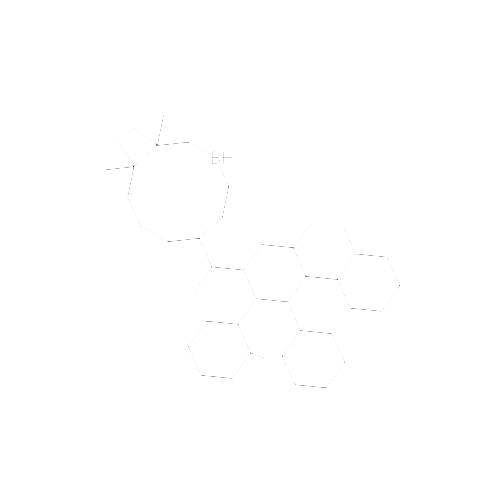 CC1CCCCC1C1C(C)CC(C(C)C2CCBCC(C)(C)C(C)(C)CCC2)C(C2CCCCC2C)C1C1CCCCC1